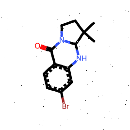 CC1(C)CCN2C(=O)c3ccc(Br)cc3NC21